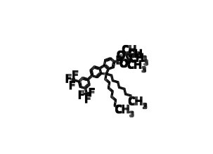 CCCCCCCCC1(CCCCCCCC)c2cc(B3OC(C)(C)C(C)(C)O3)ccc2-c2ccc(-c3cc(C(F)(F)F)cc(C(F)(F)F)c3)cc21